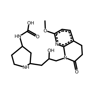 COc1ccc2c(n1)N(CC(O)CC1CC(NC(=O)O)CCN1)C(=O)CC2